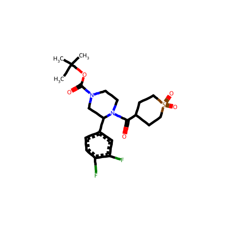 CC(C)(C)OC(=O)N1CCN(C(=O)C2CCS(=O)(=O)CC2)C(c2ccc(F)c(F)c2)C1